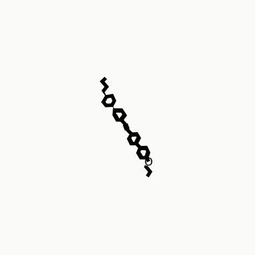 CCCC[C@H]1CC[C@H](c2ccc(C#Cc3ccc(-c4ccc(OCCC)cc4)cc3)cc2)CC1